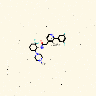 COc1c(CC(=O)N[C@@H]2[C@@H](N3CCN(C(C)C)CC3)CCCC2(F)F)ccnc1-c1cc(F)cc(F)c1